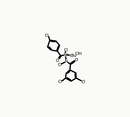 CC(C)(C)[N+](Cl)(C(=O)c1ccc(Cl)cc1)N(Cl)C(=O)c1cc(Cl)cc(Cl)c1.Cl